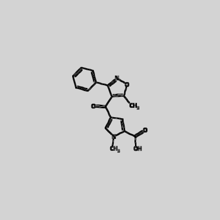 Cc1onc(-c2ccccc2)c1C(=O)c1cc(C(=O)O)n(C)c1